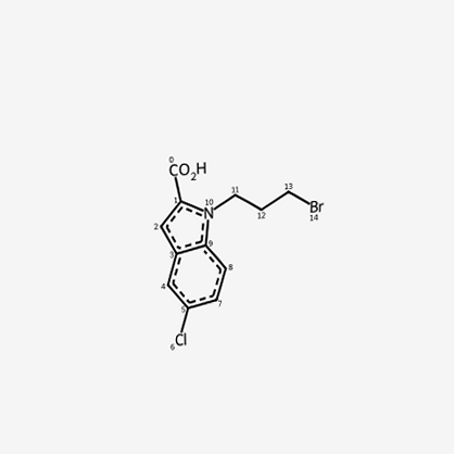 O=C(O)c1cc2cc(Cl)ccc2n1CCCBr